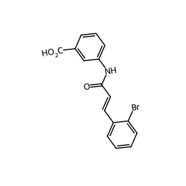 O=C(C=Cc1ccccc1Br)Nc1cccc(C(=O)O)c1